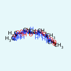 CCOC(=O)CCNC(=O)c1nc(NC(=O)c2cc(NC(=O)CCNC(=O)c3nc(NC(=O)CCCNC(=O)c4cc(NC(=O)c5nc(NC(=O)[C@@H](O)CNC(=O)c6cc(NC(=O)c7nccn7C)cn6C)cn5C)cn4C)cn3C)cn2C)cn1C